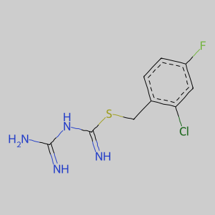 N=C(N)NC(=N)SCc1ccc(F)cc1Cl